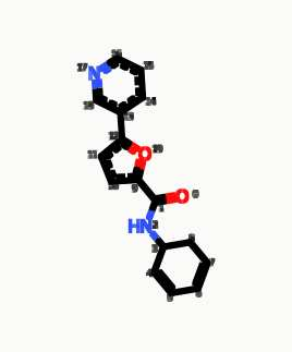 O=C(NC1C=CC=CC1)c1ccc(-c2cccnc2)o1